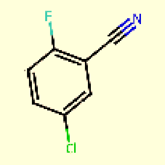 N#Cc1cc(Cl)c[c]c1F